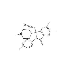 Cc1cc2c(cc1C)C(C=C=O)(N1CCN(C)CC1)N(c1ccc(F)cc1)C2=S